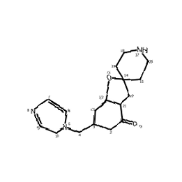 O=C1CC(CN2C=CN=CC2)CC2OC3(CCNCC3)CC12